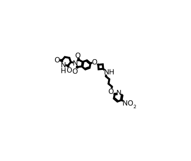 O=C1CCC(N2C(=O)c3ccc(OC4CC(NCCCCOc5ccc([N+](=O)[O-])cn5)C4)cc3C2=O)C(=O)N1